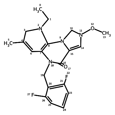 CCN1CC(C)=CC2=C1N1CN(OC)C=C1C(=O)N2Cc1c(F)cccc1F